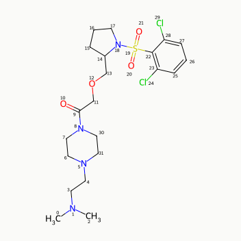 CN(C)CCN1CCN(C(=O)COCC2CCCN2S(=O)(=O)c2c(Cl)cccc2Cl)CC1